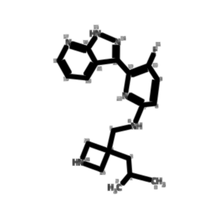 CC(C)CC1(CNc2ccc(F)c(-c3n[nH]c4ncccc34)n2)CNC1